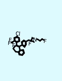 FCCCN1CC(F)(Cc2ccc(C3=C(c4ccc(Cl)cc4C(F)(F)F)CCCc4ccccc43)cc2)C1